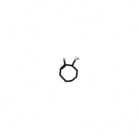 OC1CCCCC/C=C\1Br